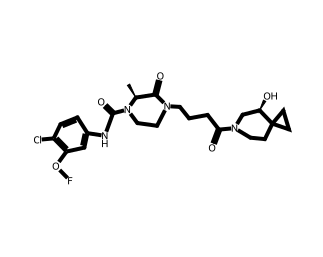 C[C@H]1C(=O)N(CCCC(=O)N2CCC3(CC3)[C@H](O)C2)CCN1C(=O)Nc1ccc(Cl)c(OF)c1